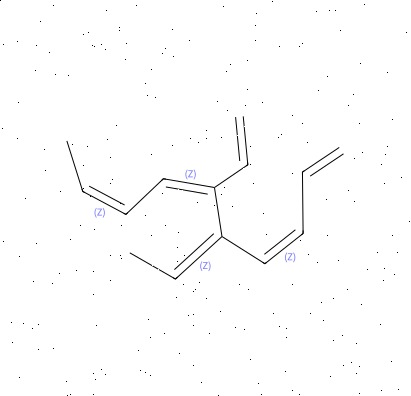 C=C\C=C/C(=C/C)C(/C=C)=C\C=C/C